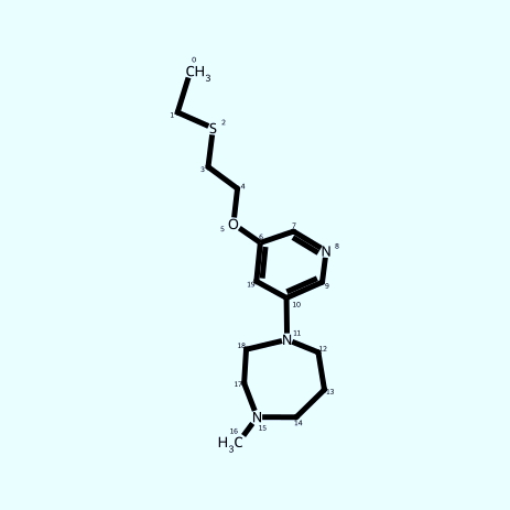 CCSCCOc1cncc(N2CCCN(C)CC2)c1